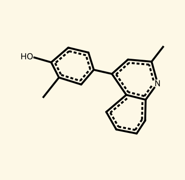 Cc1cc(-c2ccc(O)c(C)c2)c2ccccc2n1